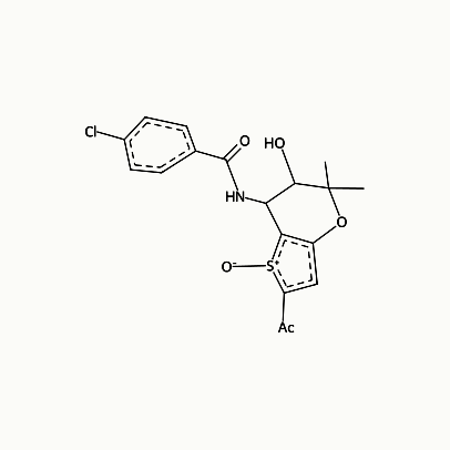 CC(=O)c1cc2c([s+]1[O-])C(NC(=O)c1ccc(Cl)cc1)C(O)C(C)(C)O2